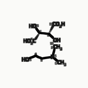 CN(C)CCO.O=C(O)[C@H](O)[C@@H](O)C(=O)O